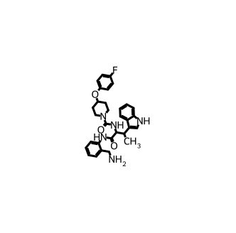 CC(c1c[nH]c2ccccc12)C(NC(=O)N1CCC(Oc2ccc(F)cc2)CC1)C(=O)Nc1ccccc1CN